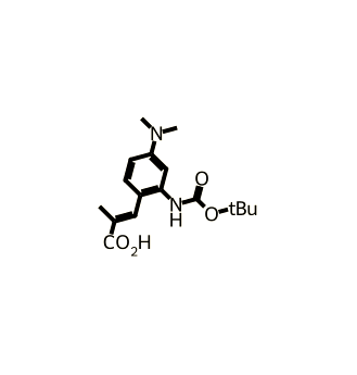 C/C(=C\c1ccc(N(C)C)cc1NC(=O)OC(C)(C)C)C(=O)O